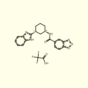 O=C(N[C@@H]1CCC[C@H](c2nc3ccccc3[nH]2)C1)c1ccc2snnc2c1.O=C(O)C(F)(F)F